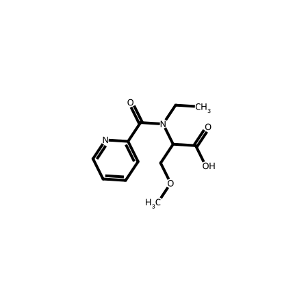 CCN(C(=O)c1ccccn1)C(COC)C(=O)O